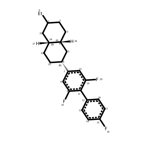 CCC1CC[C@@H]2C[C@H](c3cc(F)c(-c4ccc(F)cc4)c(F)c3)CC[C@@H]2C1